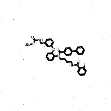 CC(C)(C)OC(=O)NCc1cccc(Oc2ccccc2N(CCCCNC(=O)c2ccccc2F)C(=O)c2ccc(-c3ccccc3)cc2)c1